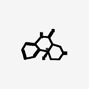 O=C1Nc2ccccc2[C@H]2CCNCC12